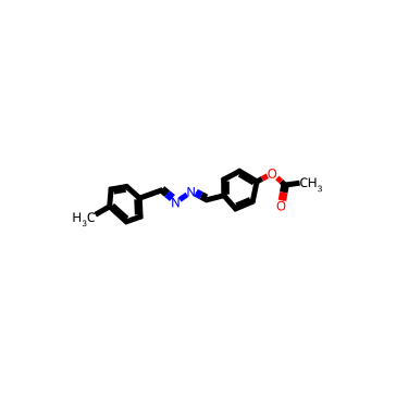 CC(=O)Oc1ccc(/C=N/N=C/c2ccc(C)cc2)cc1